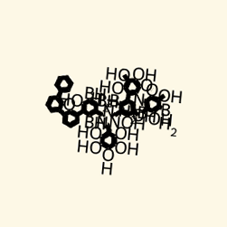 Bc1c(B)c(-c2nc(-c3c(O)c(O)c(O)c(O)c3O)nc(-c3c(O)c(O)c4c(c3B)c3c(O)c(O)c(O)c5ooc6c(O)c(B)c(O)c(B)c6n4c53)n2)c(B)c(-c2cccc3c2oc2c(-c4ccccc4)cccc23)c1O